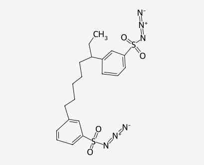 CCC(CCCCCc1cccc(S(=O)(=O)N=[N+]=[N-])c1)c1cccc(S(=O)(=O)N=[N+]=[N-])c1